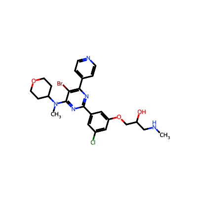 CNCC(O)COc1cc(Cl)cc(-c2nc(-c3ccncc3)c(Br)c(N(C)C3CCOCC3)n2)c1